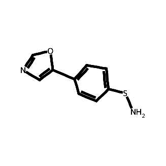 NSc1ccc(-c2cnco2)cc1